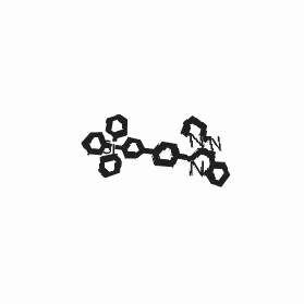 c1ccc([Si](c2ccccc2)(c2ccccc2)c2ccc(-c3ccc(-c4nc5ccccc5c5nc6ccccn6c45)cc3)cc2)cc1